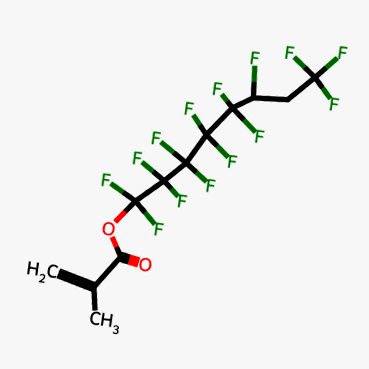 C=C(C)C(=O)OC(F)(F)C(F)(F)C(F)(F)C(F)(F)C(F)(F)C(F)CC(F)(F)F